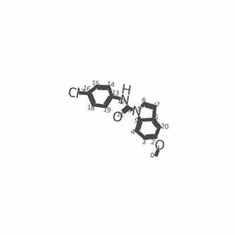 COc1ccc2c([c]cn2C(=O)Nc2ccc(Cl)cc2)c1